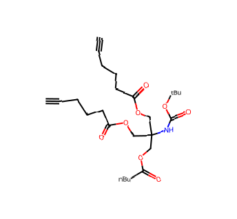 C#CCCCC(=O)OCC(COC(=O)CCCC)(COC(=O)CCCC#C)NC(=O)OC(C)(C)C